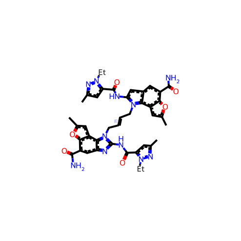 CCn1nc(C)cc1C(=O)Nc1cc2cc(C(N)=O)c3oc(C)cc3c2n1C/C=C/Cn1c(NC(=O)c2cc(C)nn2CC)nc2cc(C(N)=O)c3oc(C)cc3c21